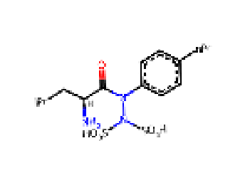 CCCc1ccc(N(C(=O)[C@@H](N)CC(C)C)N(S(=O)(=O)O)S(=O)(=O)O)cc1